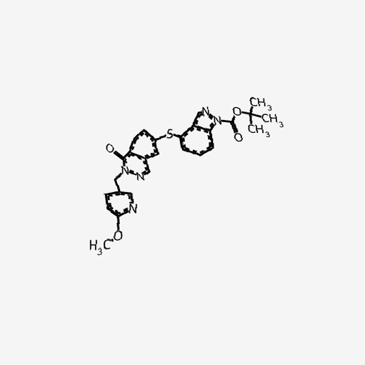 COc1ccc(Cn2ncc3cc(Sc4cccc5c4cnn5C(=O)OC(C)(C)C)ccc3c2=O)cn1